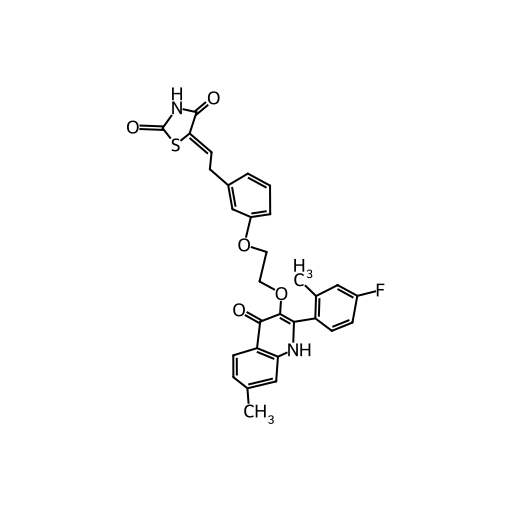 Cc1ccc2c(=O)c(OCCOc3cccc(CC=C4SC(=O)NC4=O)c3)c(-c3ccc(F)cc3C)[nH]c2c1